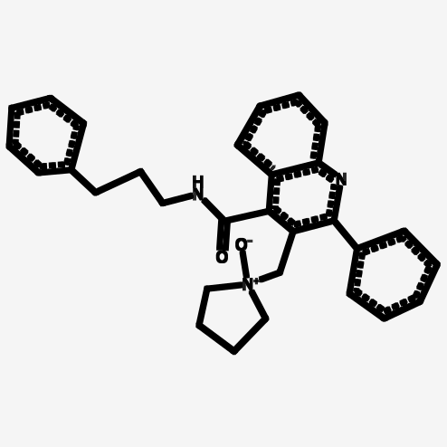 O=C(NCCCc1ccccc1)c1c(C[N+]2([O-])CCCC2)c(-c2ccccc2)nc2ccccc12